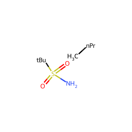 CC(C)(C)S(N)(=O)=O.CCCC